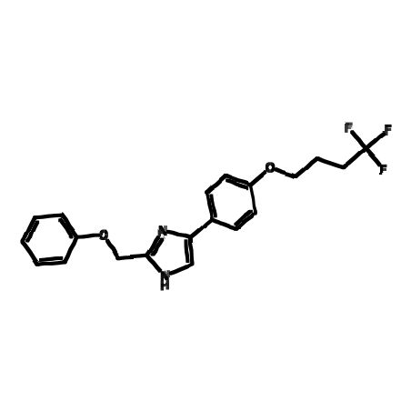 FC(F)(F)CCCOc1ccc(-c2c[nH]c(COc3ccccc3)n2)cc1